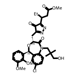 CCC(CC(=O)OC)C1=NN=C(C[C@H]2O[C@H](c3cccc(OC)c3OC)c3cc(Cl)ccc3N(CC(C)(C)CO)C2=O)C1=O